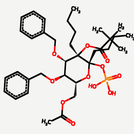 CCCC[C@@]1(OP(=O)(O)O)O[C@H](COC(C)=O)[C@@H](OCc2ccccc2)[C@H](OCc2ccccc2)[C@@]1(CCCC)OC(=O)C(C)(C)C